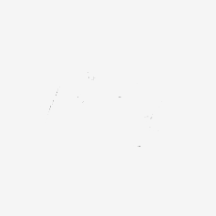 C=C(CC1CC1)NC1CC(C(C)N(C)/C(=C\C)C(=C)C)CCC1C